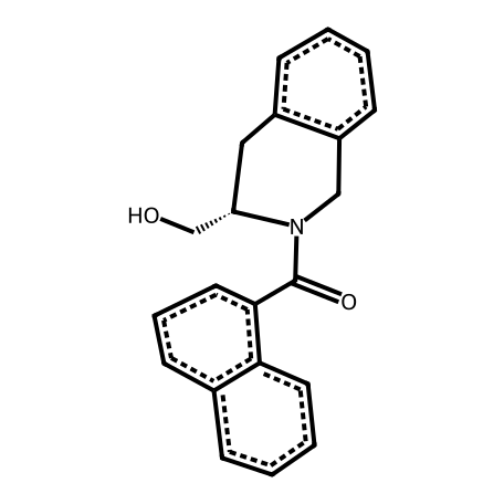 O=C(c1cccc2ccccc12)N1Cc2ccccc2C[C@H]1CO